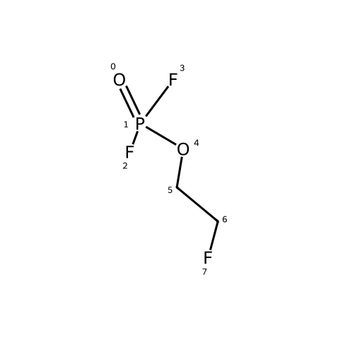 O=P(F)(F)OCCF